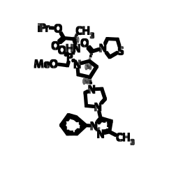 COCP(=O)(N[C@@H](C)C(=O)OC(C)C)N1C[C@@H](N2CCN(c3cc(C)nn3-c3ccccc3)CC2)C[C@H]1C(=O)N1CCSC1